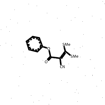 CSC(SC)=C(C#N)C(=O)Oc1ccccc1